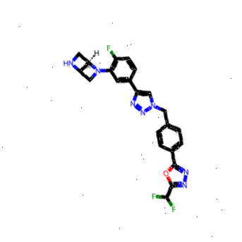 Fc1ccc(-c2cn(Cc3ccc(-c4nnc(C(F)F)o4)cc3)nn2)cc1N1CC2NC[C@H]21